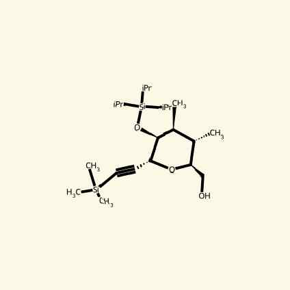 CC(C)[Si](O[C@H]1[C@@H](C)[C@H](C)[C@@H](CO)O[C@@H]1C#C[Si](C)(C)C)(C(C)C)C(C)C